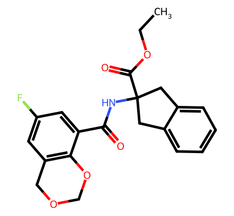 CCOC(=O)C1(NC(=O)c2cc(F)cc3c2OCOC3)Cc2ccccc2C1